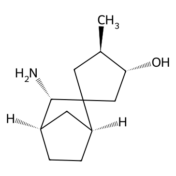 C[C@@H]1CC2(C[C@H]1O)[C@H]1CC[C@H](C1)[C@@H]2N